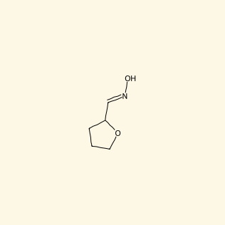 ON=CC1CCCO1